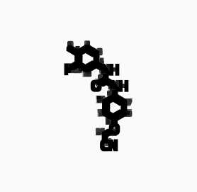 Cc1ccc(NC(=O)Nc2ccc(OCC#N)cc2)cc1F